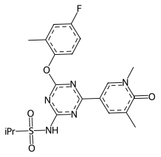 Cc1cc(F)ccc1Oc1nc(NS(=O)(=O)C(C)C)nc(-c2cc(C)c(=O)n(C)c2)n1